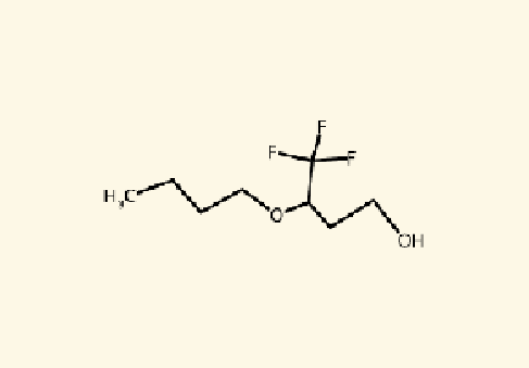 CCCCOC(CCO)C(F)(F)F